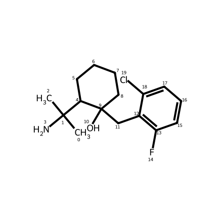 CC(C)(N)C1CCCCC1(O)Cc1c(F)cccc1Cl